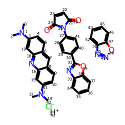 CN(C)c1ccc2cc3ccc(N(C)C)cc3nc2c1.O=C1C=CC(=O)N1c1ccc(-c2nc3ccccc3o2)cc1.[Cl-].[H+].c1ccc2onnc2c1